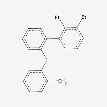 CCc1cccc(-c2ccccc2Cc2ccccc2C)c1CC